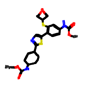 CC(C)OC(=O)NC1CCC(c2ncc(-c3ccc(NC(=O)OC(C)(C)C)cc3SC3COC3)s2)CC1